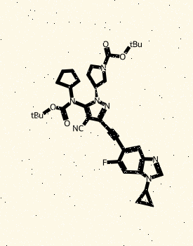 CC(C)(C)OC(=O)N1CC[C@H](n2nc(C#Cc3cc4ncn(C5CC5)c4cc3F)c(C#N)c2N(C(=O)OC(C)(C)C)C2CCCC2)C1